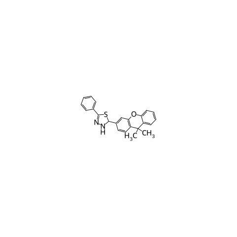 CC1(C)c2ccccc2Oc2cc(C3NN=C(c4ccccc4)S3)ccc21